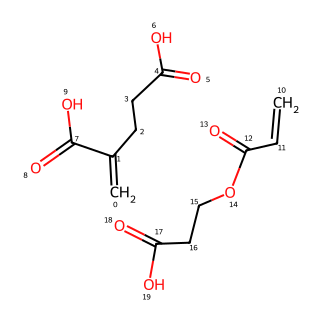 C=C(CCC(=O)O)C(=O)O.C=CC(=O)OCCC(=O)O